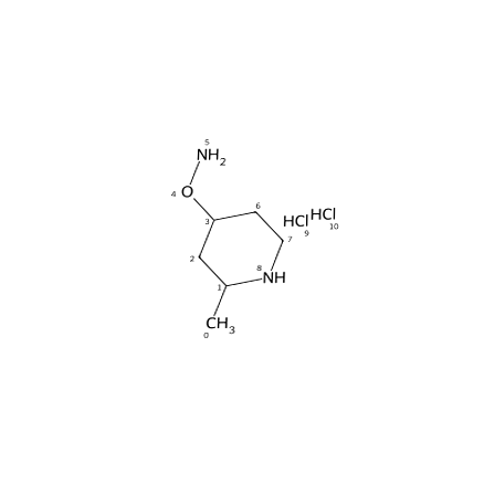 CC1CC(ON)CCN1.Cl.Cl